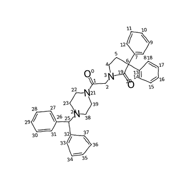 O=C(CN1CCC(c2ccccc2)(c2ccccc2)C1=O)N1CCN(C(c2ccccc2)c2ccccc2)CC1